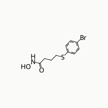 O=C(CCCSc1ccc(Br)cc1)NO